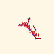 CC/C=C\C/C=C\C/C=C\CCCCCCC(O)CN(CCCC(=O)OCCN1CCN(CCSSCCCCN(CC(O)CCCCCC/C=C\CCCCCCCC)CC(O)CCCCCC/C=C\CCCCCCCC)CC1)CC(O)CCCCCC/C=C\C/C=C\C/C=C\CC